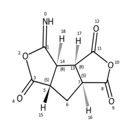 N=C1OC(=O)[C@H]2C[C@@H]3C(=O)OC(=O)[C@@H]3[C@H]12